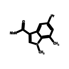 CNC(=O)c1cn(C)c2c(C)cc(C(C)C)cc12